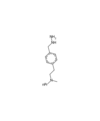 CCCN(C)CCc1ccc(CNN)cc1